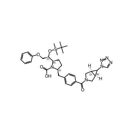 CC(C)(C)[Si](C)(C)O[C@H](COc1ccccc1)[C@H]1CC[C@@H](Cc2ccc(C(=O)N3C[C@@H]4C(n5cnnn5)[C@@H]4C3)cc2)N1C(=O)O